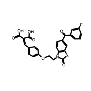 O=C(O)C(=Cc1ccc(OCCn2c(=O)sc3cc(C(=O)c4cccc(Cl)c4)ccc32)cc1)C(=O)O